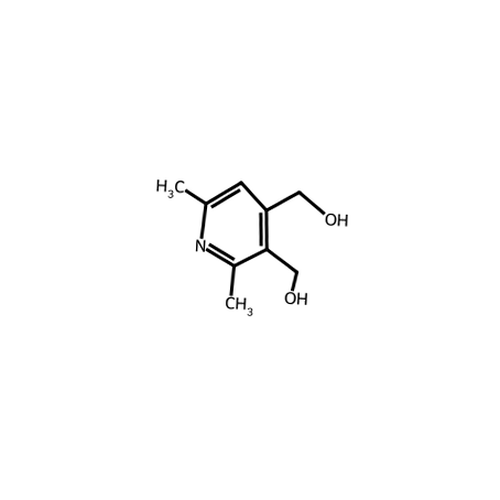 Cc1cc(CO)c(CO)c(C)n1